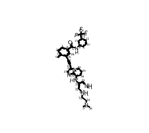 Cc1ccc(C(=O)Nc2cccc(C(F)(F)F)c2)cc1C#Cc1cnc2c(N/C(C=N)=C/NCCN(C)C)cccn12